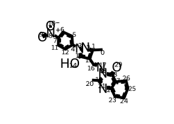 Cc1nn(-c2ccc([N+](=O)[O-])cc2)c(O)c1/C=N/n1c(C)nc2ccccc2c1=O